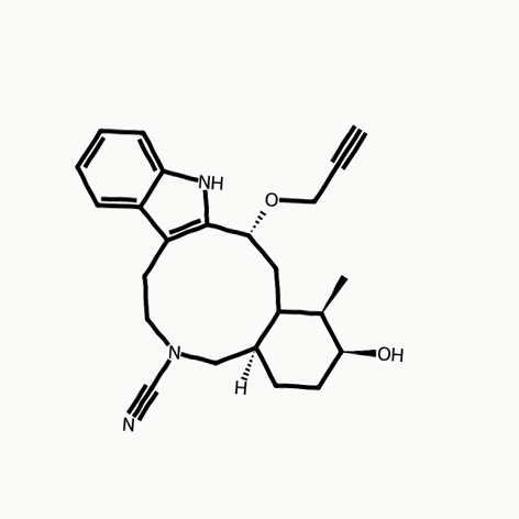 C#CCO[C@@H]1CC2[C@@H](CC[C@H](O)[C@@H]2C)CN(C#N)CCc2c1[nH]c1ccccc21